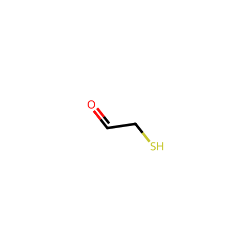 O=CCS